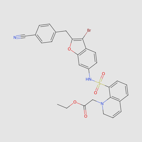 CCOC(=O)CN1CC=Cc2cccc(S(=O)(=O)Nc3ccc4c(Br)c(Cc5ccc(C#N)cc5)oc4c3)c21